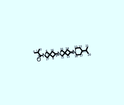 CC(C)C(=O)N1CC2(CC(N3CC4(CC(N5CCC(C(C)C)CC5)C4)C3)C2)C1